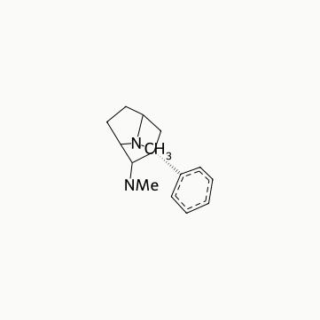 [CH2]NC1C2CCC(C[C@@H]1c1ccccc1)N2C